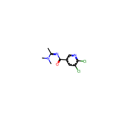 C/C(=N/C(=O)c1cnc(Cl)c(Cl)c1)N(C)C